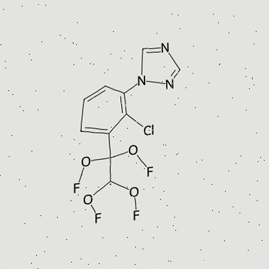 FO[C](OF)C(OF)(OF)c1cccc(-n2cncn2)c1Cl